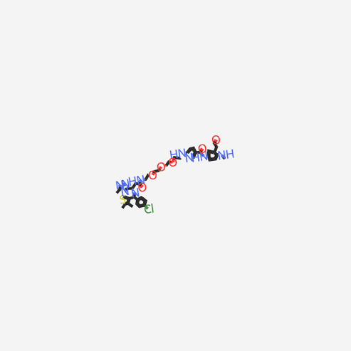 CNc1ccc(NC(=O)c2ccc(NCCOCCOCCOCCNC(=O)CC3N=C(c4ccc(Cl)cc4)c4c(sc(C)c4C)-n4c(C)nnc43)nc2)cc1CC=O